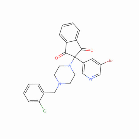 O=C1c2ccccc2C(=O)C1(c1cncc(Br)c1)N1CCN(Cc2ccccc2Cl)CC1